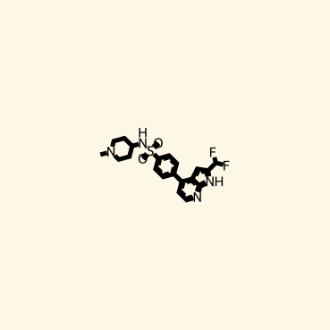 CN1CCC(NS(=O)(=O)c2ccc(-c3ccnc4[nH]c(C(F)F)cc34)cc2)CC1